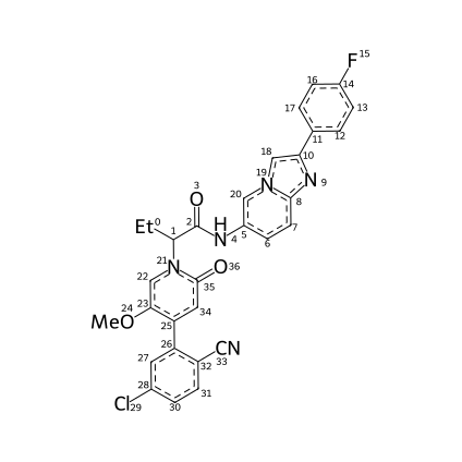 CCC(C(=O)Nc1ccc2nc(-c3ccc(F)cc3)cn2c1)n1cc(OC)c(-c2cc(Cl)ccc2C#N)cc1=O